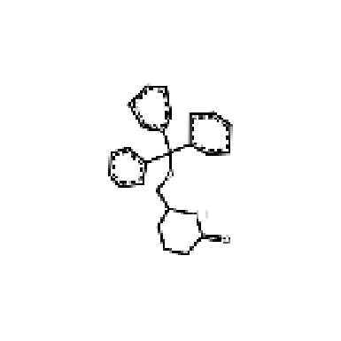 O=C1CCCC(COC(c2ccccc2)(c2ccccc2)c2ccccc2)N1